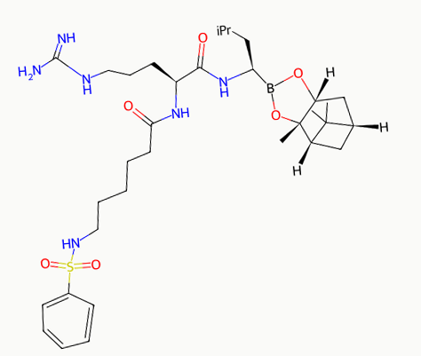 CC(C)C[C@H](NC(=O)[C@H](CCCNC(=N)N)NC(=O)CCCCCNS(=O)(=O)c1ccccc1)B1O[C@@H]2C[C@@H]3C[C@@H](C3(C)C)[C@]2(C)O1